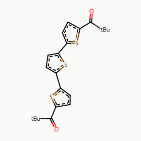 CC(C)(C)C(=O)c1ccc(-c2ccc(-c3ccc(C(=O)C(C)(C)C)s3)s2)s1